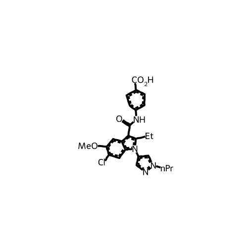 CCCn1cc(-n2c(CC)c(C(=O)Nc3ccc(C(=O)O)cc3)c3cc(OC)c(Cl)cc32)cn1